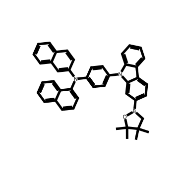 CC1(C)CB(c2ccc3c4ccccc4n(-c4ccc(N(c5ccc6ccccc6c5)c5cccc6ccccc56)cc4)c3c2)OC1(C)C